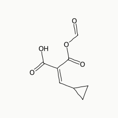 O=COC(=O)C(=CC1CC1)C(=O)O